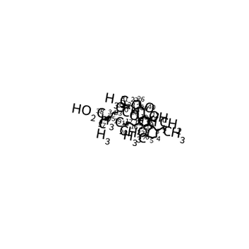 C=C(C)C1CC[C@]2(C)C[C@@H]1c1c(O)c3c(c(CC=C(C)C)c1O2)OC1C(=CC[C@@H]1C(C)(C)OCC/C=C(/C)C(=O)O)C3=O